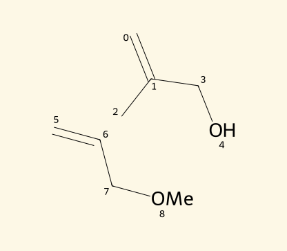 C=C(C)CO.C=CCOC